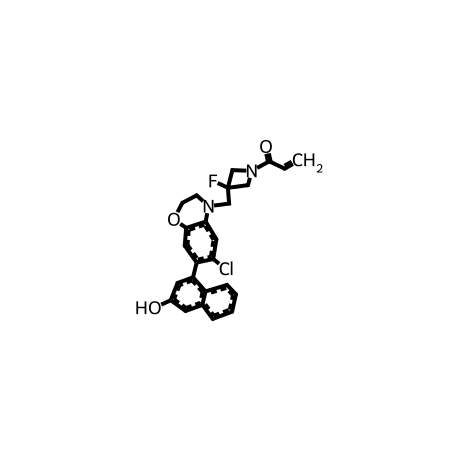 C=CC(=O)N1CC(F)(CN2CCOc3cc(-c4cc(O)cc5ccccc45)c(Cl)cc32)C1